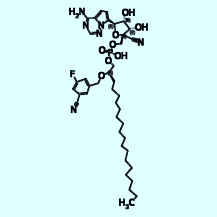 CCCCCCCCCCCCCCCCCC[C@H](COP(=O)(O)OC[C@@]1(C#N)O[C@@H](c2ccc3c(N)ncnn23)[C@H](O)[C@@H]1O)OCc1cc(F)cc(C#N)c1